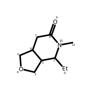 CCC1C2COCC2CC(=O)N1C